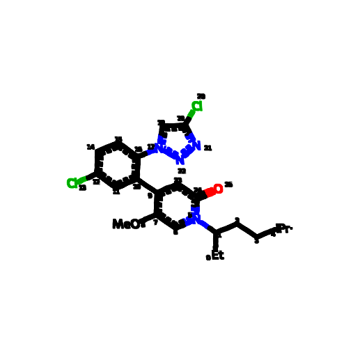 CCC(CC[C](C)C)n1cc(OC)c(-c2cc(Cl)ccc2-n2cc(Cl)nn2)cc1=O